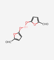 O=Cc1ccc(OBOc2ccc(C=O)o2)o1